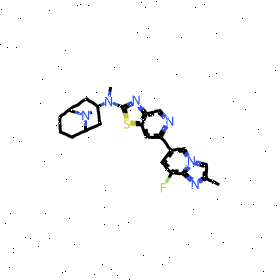 Cc1cn2cc(-c3cc4sc(N(C)C5CC6CCCC(C5)N6C)nc4cn3)cc(F)c2n1